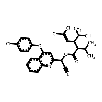 C#CC(OC(=O)C(C(C)C)C(C=C(Cl)Cl)C(C)C)c1cc(Oc2ccc(Cl)cc2)c2ccccc2n1